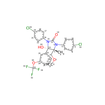 COC[C@@]1(C)N(c2ccc(Cl)cc2)C(=O)N(c2ccc(Cl)cc2)[C@]1(O)c1cccc(OC(F)(F)F)c1